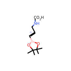 CC1(C)OB(/C=C/CNC(=O)O)OC1(C)C